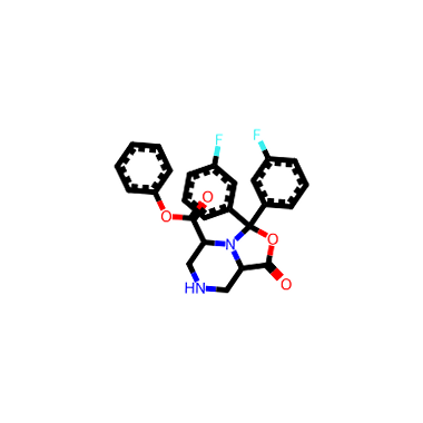 O=C(Oc1ccccc1)C1CNCC2C(=O)OC(c3cccc(F)c3)(c3cccc(F)c3)N12